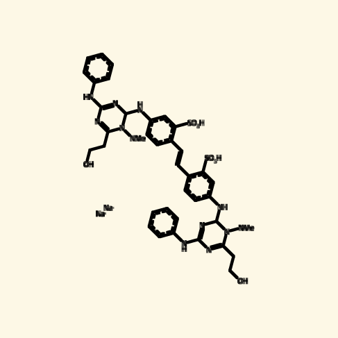 CNN1C(CCO)=NC(Nc2ccccc2)=NC1Nc1ccc(C=Cc2ccc(NC3N=C(Nc4ccccc4)N=C(CCO)N3NC)cc2S(=O)(=O)O)c(S(=O)(=O)O)c1.[Na].[Na]